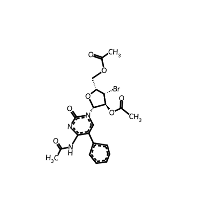 CC(=O)Nc1nc(=O)n([C@@H]2O[C@H](COC(C)=O)[C@H](Br)[C@H]2OC(C)=O)cc1-c1ccccc1